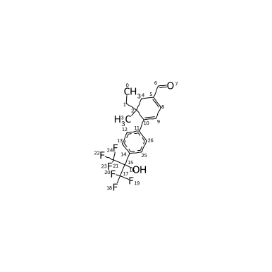 CCC1(C)CC(C=O)=CC=C1c1ccc(C(O)(C(F)(F)F)C(F)(F)F)cc1